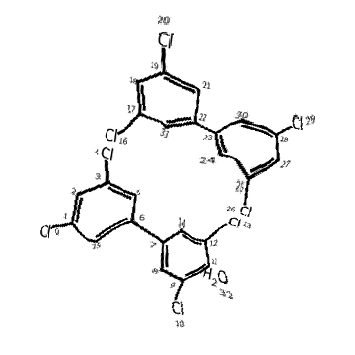 Clc1cc(Cl)cc(-c2cc(Cl)cc(Cl)c2)c1.Clc1cc(Cl)cc(-c2cc(Cl)cc(Cl)c2)c1.O